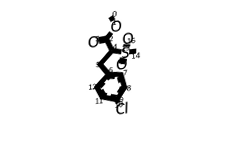 COC(=O)C(Cc1ccc(Cl)cc1)S(C)(=O)=O